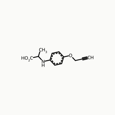 C#CCOc1ccc(NC(C)C(=O)O)cc1